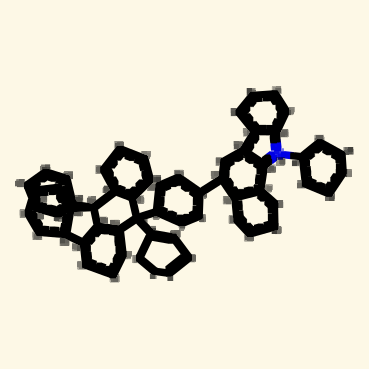 C1=CCCC(C2(c3ccc(-c4cc5c6ccccc6n(-c6ccccc6)c5c5ccccc45)cc3)c3ccccc3C3(c4ccccc4)c4ccccc4-c4cccc2c43)=C1